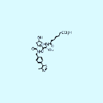 Cc1ncsc1-c1ccc(CNC(=O)[C@@H]2C[C@@H](O)CN2C(=O)[C@H](NC(=O)CCCCCC(=O)O)C(C)(C)C)cc1